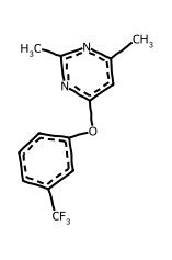 Cc1cc(Oc2cccc(C(F)(F)F)c2)nc(C)n1